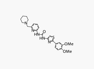 COc1ccc(-c2nc(NC(=O)Nc3cccc(CN4CCCCC4)n3)cs2)cc1OC